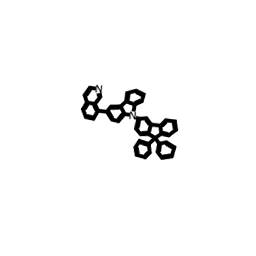 c1ccc(C2(c3ccccc3)c3ccccc3-c3cc(-n4c5ccccc5c5cc(-c6cccc7ccncc67)ccc54)ccc32)cc1